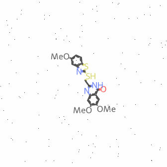 COc1ccc2sc([SH]=Cc3nc4cc(OC)c(OC)cc4c(=O)[nH]3)nc2c1